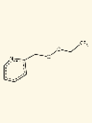 FC(F)(F)COOCc1ccccn1